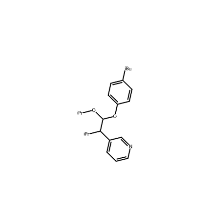 CCC(C)c1ccc(OC(OC(C)C)C(c2cccnc2)C(C)C)cc1